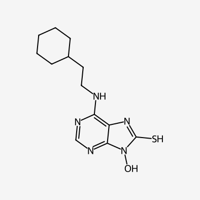 On1c(S)nc2c(NCCC3CCCCC3)ncnc21